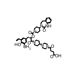 Bc1cc(C[C@@H](OC(=O)N2CCC(N3CCc4ccccc4NC3=O)CC2)C(=O)N2CCC(N3CCN(C(=O)CCC(=O)O)CC3)CC2)cc(C=C)c1O